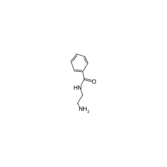 NCCNC(=O)c1ccccc1